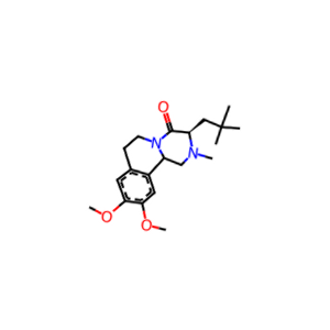 COc1cc2c(cc1OC)C1CN(C)[C@H](CC(C)(C)C)C(=O)N1CC2